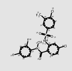 CN(C(=O)c1ncc(Cl)cc1NS(=O)(=O)c1ccc(Cl)c(C(F)(F)F)c1)c1ccc(F)cc1F